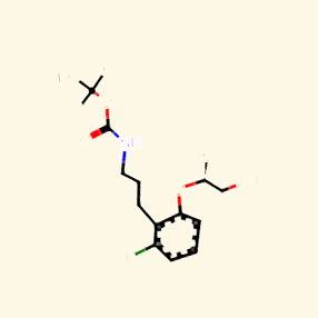 C[C@@H](CO)Oc1cccc(F)c1CCCNC(=O)OC(C)(C)C